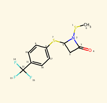 CSN1C(=O)CC1Sc1ccc(C(F)(F)F)cc1